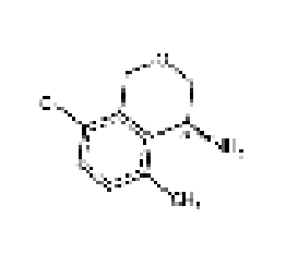 Cc1ccc(Cl)c2c1[C@H](N)COC2